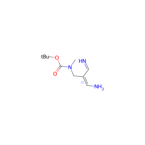 CN(C/C(C=N)=C/N)C(=O)OC(C)(C)C